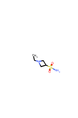 CCN1CC(S(N)(=O)=O)C1